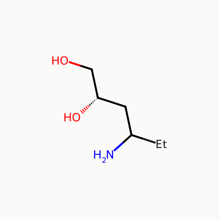 CCC(N)C[C@H](O)CO